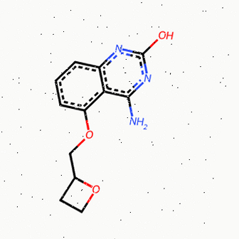 Nc1nc(O)nc2cccc(OCC3CCO3)c12